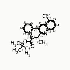 C[C@H](NC(=O)OC(C)(C)C)c1nc2cccc(Cl)c2cc1-c1ccccn1